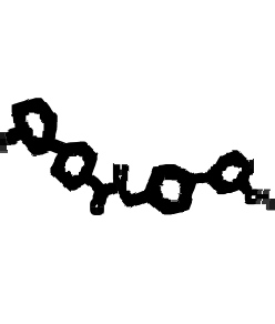 Cc1cc(-c2ccc(CNC(=O)c3ccc(-c4cccc(F)c4)cc3)cc2)ccn1